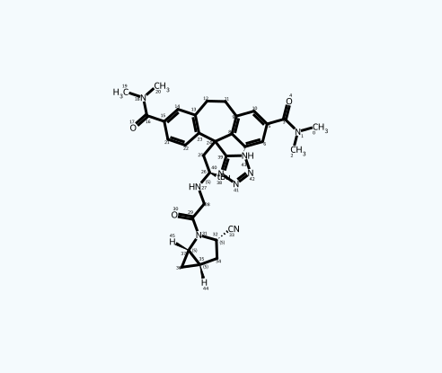 CN(C)C(=O)c1ccc2c(c1)CCc1cc(C(=O)N(C)C)ccc1C2(C[C@H](NCC(=O)N1[C@H](C#N)C[C@@H]2C[C@@H]21)C(C)(C)C)c1nnn[nH]1